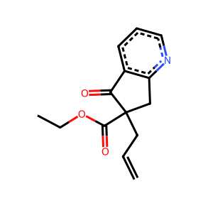 C=CCC1(C(=O)OCC)Cc2ncccc2C1=O